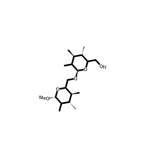 CO[C@@H]1OC(CO[C@@H]2OC(CO)[C@@H](C)[C@H](C)C2C)[C@@H](C)[C@H](C)C1C